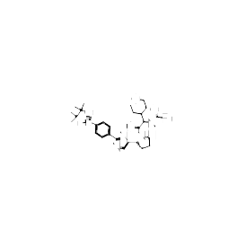 CCC(=O)NC(C(=O)N1CCC[C@H]1c1cnc(-c2ccc(B3OC(C)(C)C(C)(C)O3)cc2)[nH]1)C1CCOCC1